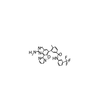 COc1c(-c2cc(C(=O)Nc3cccc(C(F)(F)F)c3)ccc2C)cc2cnc(N)nc2c1-c1ncccn1